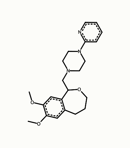 COc1cc2c(cc1OC)C(CN1CCN(c3ccccn3)CC1)OCCC2